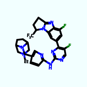 CCN1CC2CCC(C1)N2Cc1ccc(Nc2ncc(F)c(-c3cc(F)c4nc5n(c4c3)C(C(F)(F)F)CC5)n2)nc1